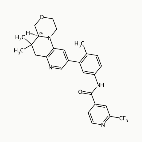 Cc1ccc(NC(=O)c2ccnc(C(F)(F)F)c2)cc1-c1cnc2c(c1)N1CCOC[C@@H]1C(C)(C)C2